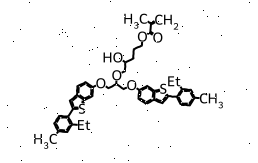 C=C(C)C(=O)OCCCC(O)COC(COc1ccc2cc(-c3ccc(C)cc3CC)sc2c1)COc1ccc2cc(-c3ccc(C)cc3CC)sc2c1